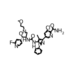 COCCN1C[C@@H](NC(=O)Nc2c(C)c(-c3cnc(C(N)=O)c(Cl)c3)nn2-c2ccccc2)[C@H](c2ccnc(F)c2)O1